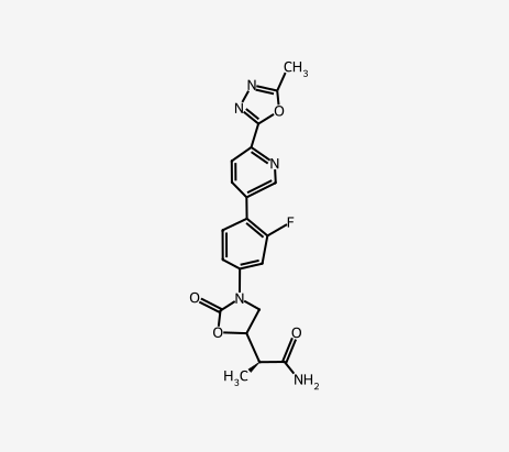 Cc1nnc(-c2ccc(-c3ccc(N4CC([C@H](C)C(N)=O)OC4=O)cc3F)cn2)o1